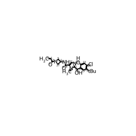 C=CC(=O)N1CC(NC(=O)c2cnc(C(O)c3cc(C(C)(C)C)c(Cl)cc3O)n2C)C1